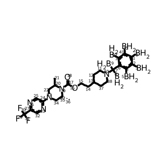 Bc1c(B)c(B)c(C(B)(B)N2CCC(CCOC(=O)N3C(C)CN(c4cnc(C(F)(F)F)cn4)C[C@H]3C)CC2)c(B)c1B